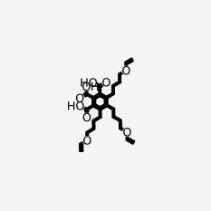 C=COCCCCc1c(CCCCOC=C)c(C(=O)O)c(C(=O)O)c(C(=O)O)c1CCCCOC=C